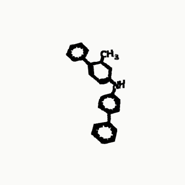 CC1CC(Nc2ccc(-c3ccccc3)cc2)=CC=C1c1ccccc1